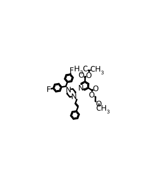 COCCOC(=O)c1cncc(C(=O)OC(C)C)c1.Fc1ccc(C(c2ccc(F)cc2)N2CCN(C/C=C/c3ccccc3)CC2)cc1